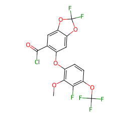 COc1c(Oc2cc3c(cc2C(=O)Cl)OC(F)(F)O3)ccc(OC(F)(F)F)c1F